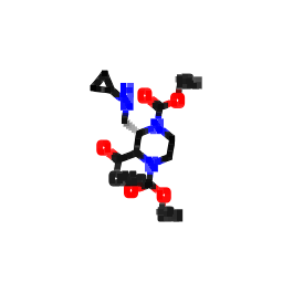 COC(=O)C1[C@H](CNC2CC2)N(C(=O)OC(C)(C)C)CCN1C(=O)OC(C)(C)C